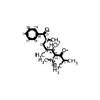 CC(C)C(=O)[C@H]([C@H](O)[C@H](C)CN(C)C(=O)c1ccccc1)N(C)C